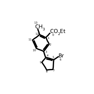 CCOC(=O)c1cc(C2=C(Br)CCC2)ccc1C